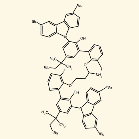 CC(CCOc1c(F)cccc1-c1cc(C(C)(C)CC(C)(C)C)cc(-n2c3ccc(C(C)(C)C)cc3c3cc(C(C)(C)C)ccc32)c1O)Oc1c(F)cccc1-c1cc(C(C)(C)CC(C)(C)C)cc(-n2c3ccc(C(C)(C)C)cc3c3cc(C(C)(C)C)ccc32)c1O